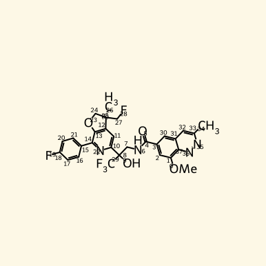 COc1cc(C(=O)NCC(O)(c2cc3c(c(-c4ccc(F)cc4)n2)OC[C@@]3(C)CF)C(F)(F)F)cc2cc(C)nnc12